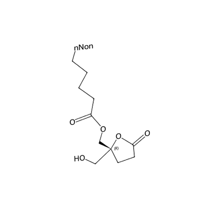 CCCCCCCCCCCCCC(=O)OC[C@]1(CO)CCC(=O)O1